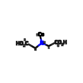 O=C(O)C[N]([Co])CC(=O)O